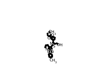 Cc1ccc(S(=O)(=O)n2cc(-c3nc(-c4cccc([C@]5(O)CCN(C)C5=O)c4)c(CO)s3)c3cccnc32)cc1